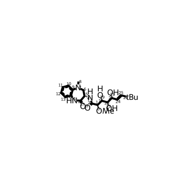 CO[C@@H](C(=O)N[C@H]1CN(C)c2ccccc2NC1=O)[C@H](O)[C@@H](O)[C@H](O)C=CC(C)(C)C